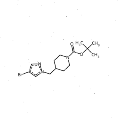 CC(C)(C)OC(=O)N1CCC(Cn2cc(Br)cn2)CC1